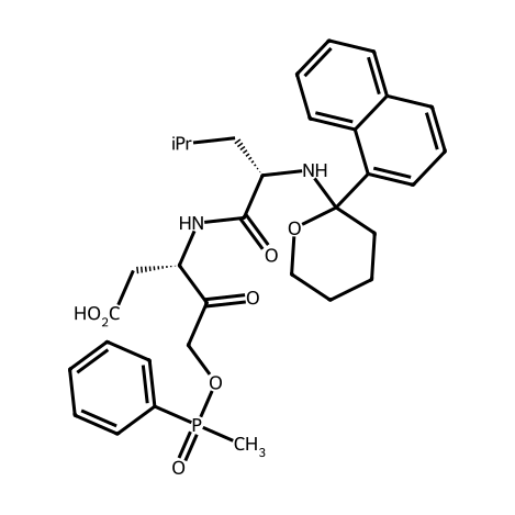 CC(C)C[C@H](NC1(c2cccc3ccccc23)CCCCO1)C(=O)N[C@@H](CC(=O)O)C(=O)COP(C)(=O)c1ccccc1